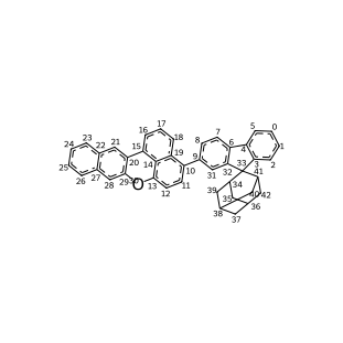 c1ccc2c(c1)-c1ccc(-c3ccc4c5c(cccc35)-c3cc5ccccc5cc3O4)cc1C21C2CC3CC(C2)CC1C3